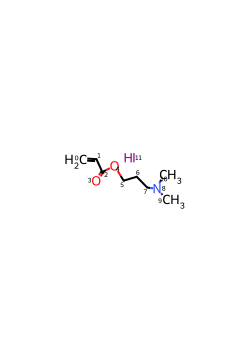 C=CC(=O)OCCCN(C)C.I